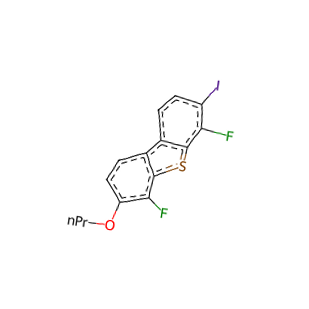 CCCOc1ccc2c(sc3c(F)c(I)ccc32)c1F